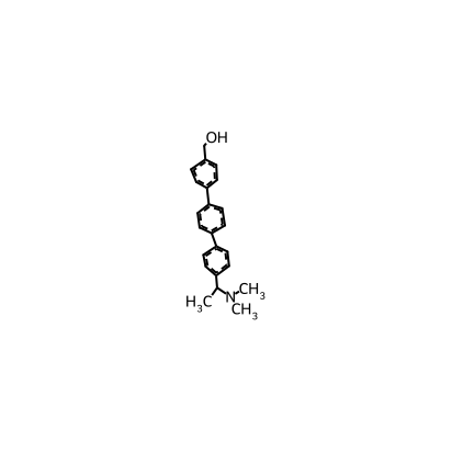 CC(c1ccc(-c2ccc(-c3ccc(CO)cc3)cc2)cc1)N(C)C